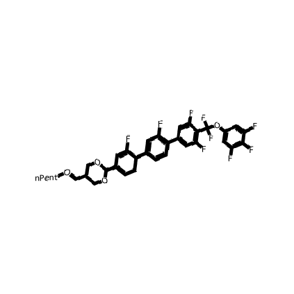 CCCCCOCC1COC(C2=CCC(c3ccc(-c4cc(F)c(C(F)(F)Oc5cc(F)c(F)c(F)c5)c(F)c4)c(F)c3)C(F)=C2)OC1